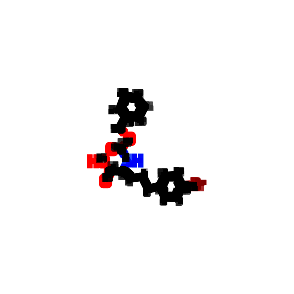 O=C(NC(=CCCc1ccc(Br)cc1)C(=O)O)OCc1ccccc1